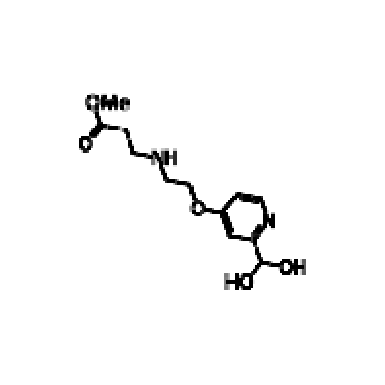 COC(=O)CCNCCOc1ccnc(C(O)O)c1